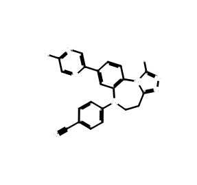 Cc1nnc2n1-c1ccc(-c3cnc(N)cn3)cc1N(c1ccc(C#N)cc1)C[C@H]2C